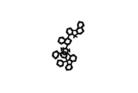 CC1(C)c2ccc3ccccc3c2-c2cccc(-c3ccc(-c4nc(-c5ccccc5)cc(-c5cccc6c5C(c5ccccc5)(c5ccccc5)c5ccccc5-6)n4)c4ccccc34)c21